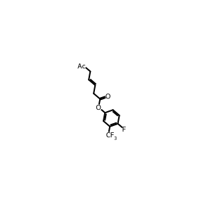 CC(=O)C/C=C/CC(=O)Oc1ccc(F)c(C(F)(F)F)c1